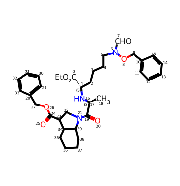 CCOC(=O)[C@H](CCCCN(C=O)OCc1ccccc1)N[C@@H](C)C(=O)N1CC(C(=O)OCc2ccccc2)C2CCCCC21